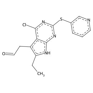 CCc1[nH]c2nc(Sc3cccnc3)nc(Cl)c2c1CC=O